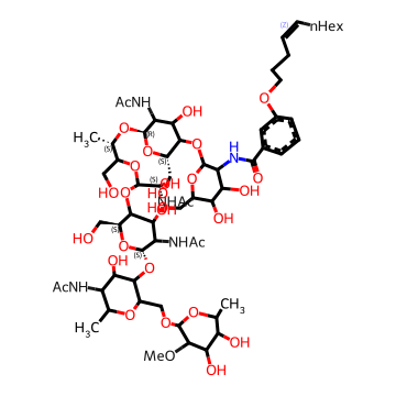 CCCCCC/C=C\CCCOc1cccc(C(=O)NC2C(OC3C(O)C(NC(C)=O)[C@H](O[C@@H](C)C(CO)OC(OC4C(O)C(NC(C)=O)[C@H](OC5C(COC6OC(C)C(O)C(O)C6OC)OC(C)C(NC(C)=O)C5O)O[C@H]4CO)[C@H](O)NC(C)=O)O[C@H]3CO)OC(CO)C(O)C2O)c1